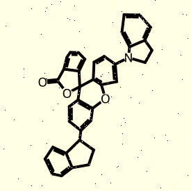 O=C1OC2(c3ccc(C4CCc5ccccc54)cc3Oc3cc(N4CCc5ccccc54)ccc32)c2ccccc21